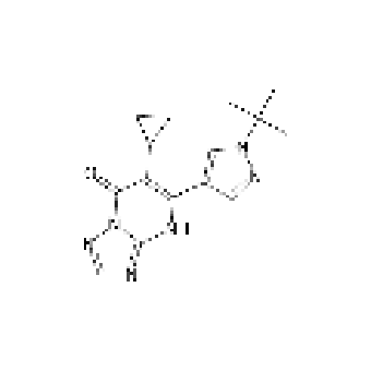 CC(C)(C)n1cc(-c2[nH]c3ncnn3c(=O)c2C2CC2)cn1